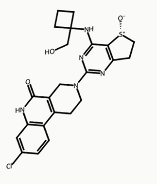 O=c1[nH]c2cc(Cl)ccc2c2c1CN(c1nc3c(c(NC4(CO)CCC4)n1)[S@+]([O-])CC3)CC2